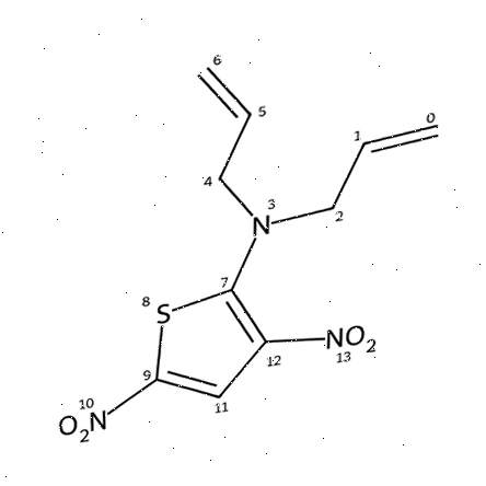 C=CCN(CC=C)c1sc([N+](=O)[O-])cc1[N+](=O)[O-]